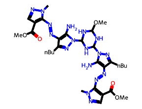 CCCCc1nn(C2NC(OC)NC(n3nc(CCCC)c(N=Nc4c(C(=O)OC)cnn4C)c3N)N2)c(N)c1N=Nc1c(C(=O)OC)cnn1C